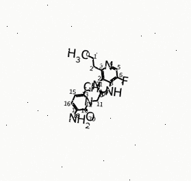 CCCc1ncc(F)c2[nH]c(Cn3c(C)ccc(N)c3=O)nc12